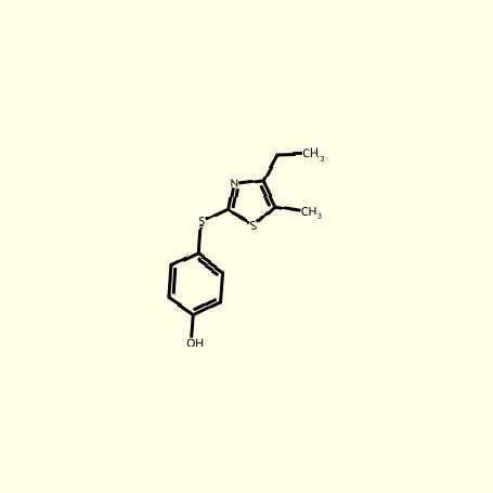 CCc1nc(Sc2ccc(O)cc2)sc1C